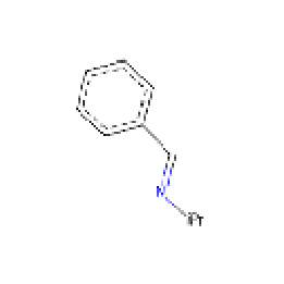 CC(C)N=Cc1ccccc1